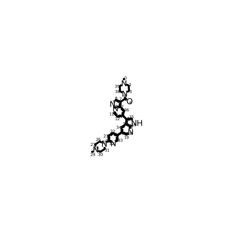 CN1CCN(C(=O)c2cnn3ccc(-c4c[nH]c5ncc(-c6ccc(N7CCN(C)CC7)nc6)cc45)cc23)CC1